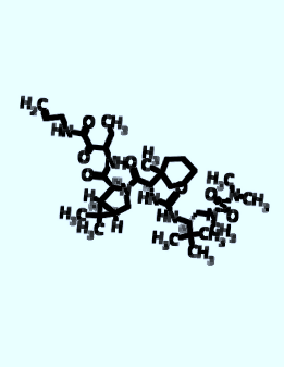 C=CCNC(=O)C(=O)C(CC)NC(=O)[C@@H]1[C@@H]2[C@H](CN1C(=O)[C@@H](NC(=O)N[C@H](CN(C)S(=O)(=O)N(C)C)C(C)(C)C)C1(C)CCCCC1)C2(C)C